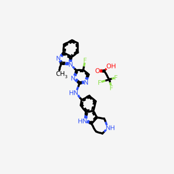 Cc1nc2ccccc2n1-c1nc(Nc2ccc3c4c([nH]c3c2)CCNC4)ncc1F.O=C(O)C(F)(F)F